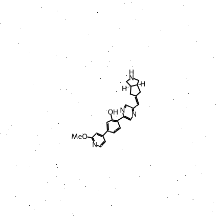 COc1cc(-c2ccc(-c3cnc(/C=C4\C[C@H]5CNC[C@H]5C4)cn3)c(O)c2)ccn1